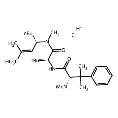 CCCC[C@@H](/C=C(\C)C(=O)O)N(C)C(=O)[C@@H](NC(=O)[C@@H](NC)C(C)(C)c1ccccc1)C(C)(C)C.[Cl-].[H+]